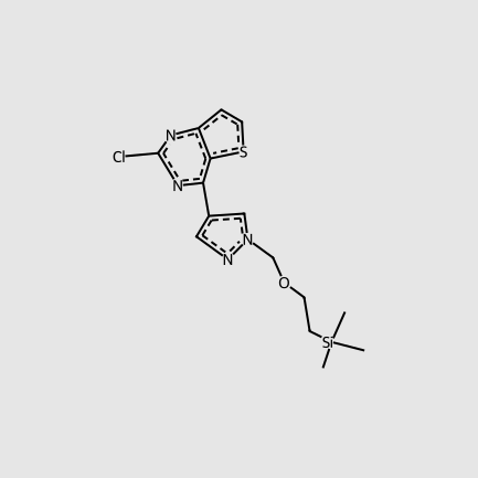 C[Si](C)(C)CCOCn1cc(-c2nc(Cl)nc3ccsc23)cn1